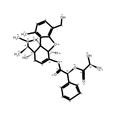 Cc1ccc(CO)c2c1[C@]13CCN(C)[C@H](C)[C@]1(O)CC=C(OC(=O)[C@@H](OC(=O)[C@H](C)O)c1ccccc1)[C@@H]3O2